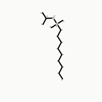 CCCCCCCCC[Si](C)(C)OC(C)C